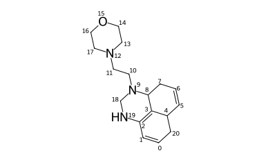 C1=CC2=C3C(C=CCC3N(CCN3CCOCC3)CN2)C1